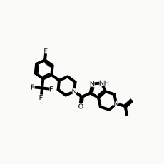 C=C(C)N1CCc2c(C(=O)N3CCC(c4cc(F)ccc4C(F)(F)F)CC3)n[nH]c2C1